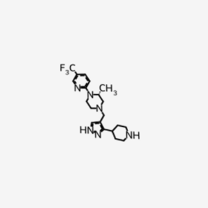 C[C@@H]1CN(Cc2c[nH]nc2C2CCNCC2)CCN1c1ccc(C(F)(F)F)cn1